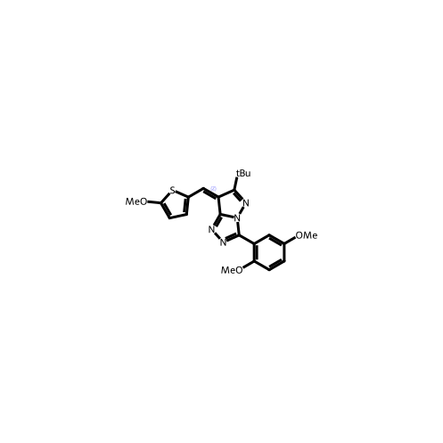 COc1ccc(OC)c(-c2nnc3/c(=C\c4ccc(OC)s4)c(C(C)(C)C)nn23)c1